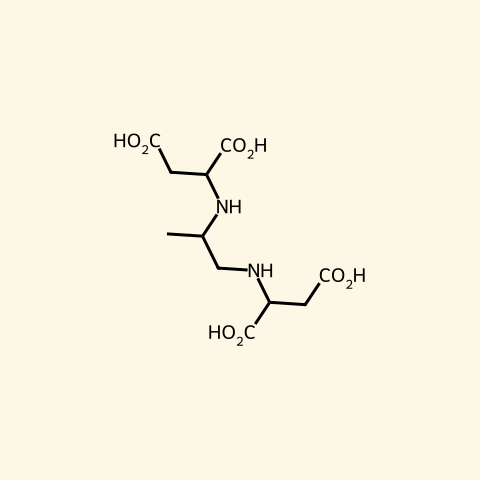 CC(CNC(CC(=O)O)C(=O)O)NC(CC(=O)O)C(=O)O